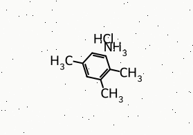 Cc1ccc(C)c(C)c1.Cl.N